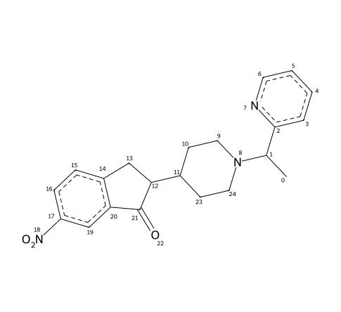 CC(c1ccccn1)N1CCC(C2Cc3ccc([N+](=O)[O-])cc3C2=O)CC1